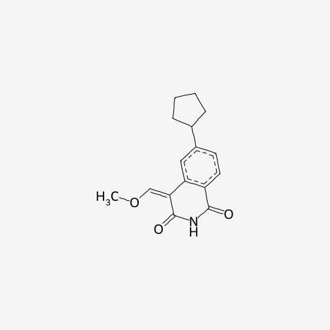 COC=C1C(=O)NC(=O)c2ccc(C3CCCC3)cc21